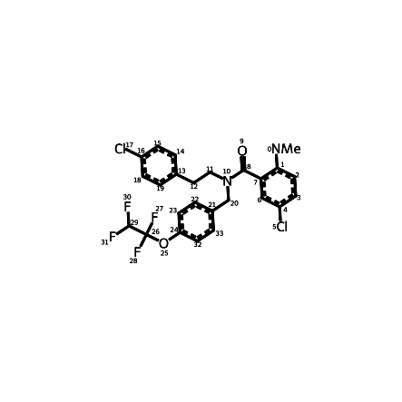 CNc1ccc(Cl)cc1C(=O)N(CCc1ccc(Cl)cc1)Cc1ccc(OC(F)(F)C(F)F)cc1